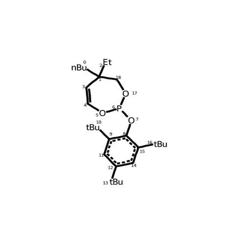 CCCCC1(CC)C=COP(Oc2c(C(C)(C)C)cc(C(C)(C)C)cc2C(C)(C)C)OC1